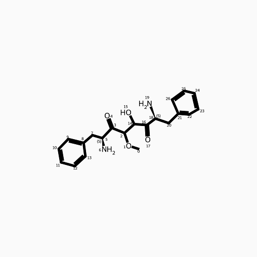 COC(C(=O)[C@@H](N)Cc1ccccc1)C(O)C(=O)[C@@H](N)Cc1ccccc1